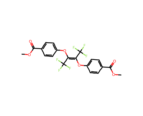 COC(=O)c1ccc(OC(=C(Oc2ccc(C(=O)OC)cc2)C(F)(F)F)C(F)(F)F)cc1